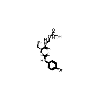 CC(C)C[C@H](OC(=O)Nc1ccc(Br)cc1)C(=O)NCO[PH](=O)O